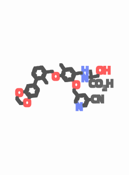 Cc1cc(CNC(C)(CO)C(=O)O)c(OCc2cncc(C#N)c2)cc1OCc1cccc(-c2ccc3c(c2)OCCO3)c1C